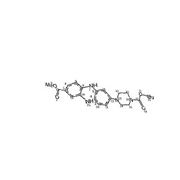 COC(=O)c1ccc(Nc2cccc(N3CCN(C(=O)OC(C)(C)C)CC3)c2)c(N)c1